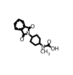 CN(C(=O)O)C1CCC(N2C(=O)c3ccccc3C2=O)CC1